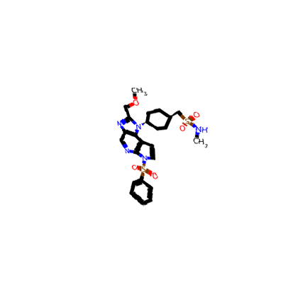 CNS(=O)(=O)C[C@H]1CC[C@H](n2c(COC)nc3cnc4c(ccn4S(=O)(=O)c4ccccc4)c32)CC1